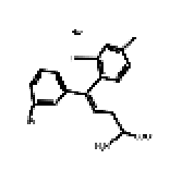 CC(C)c1cccc(C(=CCC(N)C(=O)[O-])c2ccc(F)cc2F)c1.[Na+]